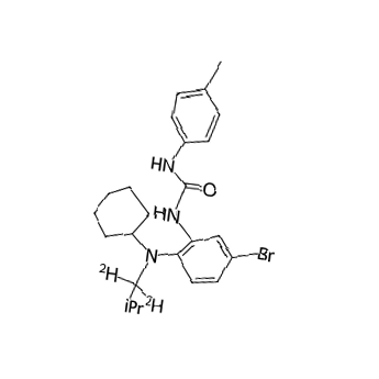 [2H]C([2H])(C(C)C)N(c1ccc(Br)cc1NC(=O)Nc1ccc(C)cc1)C1CCCCC1